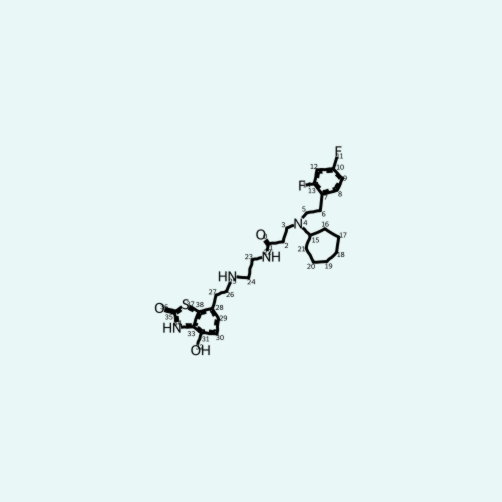 O=C(CCN(CCc1ccc(F)cc1F)C1CCCCCC1)NCCNCCc1ccc(O)c2[nH]c(=O)sc12